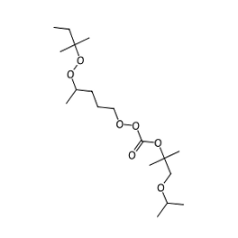 CCC(C)(C)OOC(C)CCCOOC(=O)OC(C)(C)COC(C)C